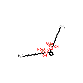 CCCCCCCCCCCCCC(O)C(OC(=O)c1ccccc1C(=O)OC(OS(=O)(=O)O)C(O)CCCCCCCCCCCCC)OS(=O)(=O)O